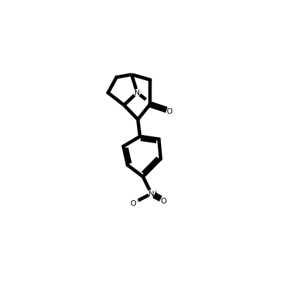 CN1C2CCC1C(c1ccc([N+](=O)[O-])cc1)C(=O)C2